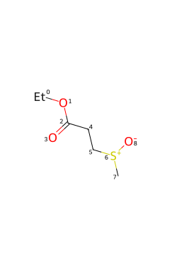 CCOC(=O)CC[S+](C)[O-]